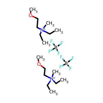 CC[N+](C)(CC)CCOC.CC[N+](C)(CC)CCOC.F[B-](F)(F)F.F[B-](F)(F)F